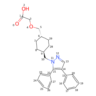 O=C(O)COC[C@H]1CC[C@H](Cn2ncc(-c3ccccc3)c2-c2ccccc2)CC1